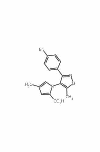 Cc1cc(C(=O)O)n(-c2c(-c3ccc(Br)cc3)noc2C)c1